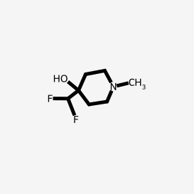 CN1CCC(O)(C(F)F)CC1